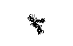 Cn1cnc2cc(-n3c(C(=O)NCc4ccccc4)c4n(c3=O)CCN(C(=O)c3ccc(Br)c(Cl)c3)C4)ccc21